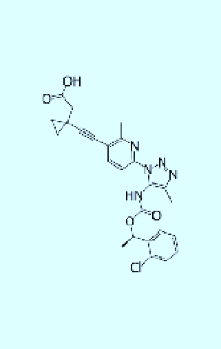 Cc1nc(-n2nnc(C)c2NC(=O)O[C@H](C)c2ccccc2Cl)ccc1C#CC1(CC(=O)O)CC1